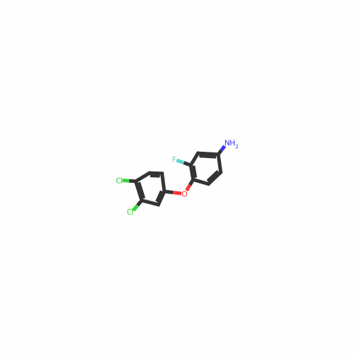 Nc1ccc(Oc2ccc(Cl)c(Cl)c2)c(F)c1